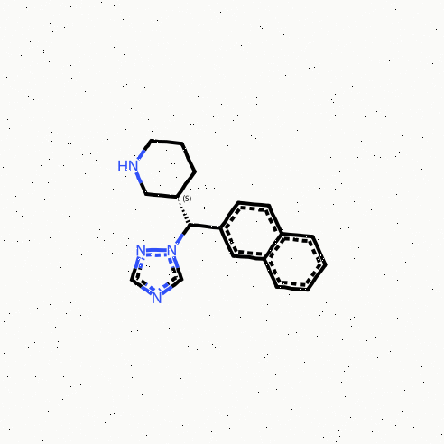 c1ccc2cc(C([C@H]3CCCNC3)n3cncn3)ccc2c1